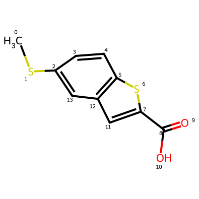 CSc1ccc2sc(C(=O)O)cc2c1